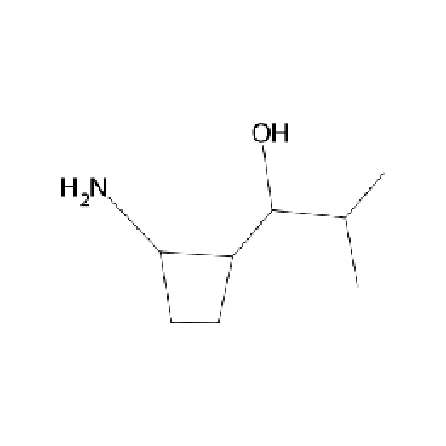 CC(C)C(O)C1CCC1N